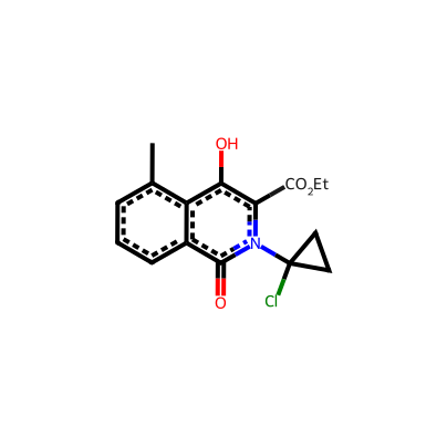 CCOC(=O)c1c(O)c2c(C)cccc2c(=O)n1C1(Cl)CC1